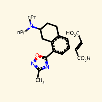 CCCN(CCC)C1CCc2cccc(-c3nc(C)no3)c2C1.O=C(O)C=CC(=O)O